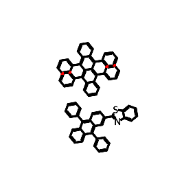 c1ccc(-c2c3ccccc3c(-c3ccccc3)c3c(-c4ccccc4)c4ccccc4c(-c4ccccc4)c23)cc1.c1ccc(-c2c3ccccc3c(-c3ccccc3)c3cc(-c4nc5ccccc5s4)ccc23)cc1